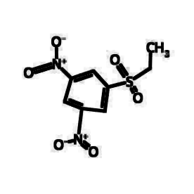 CCS(=O)(=O)c1cc([N+](=O)[O-])cc([N+](=O)[O-])c1